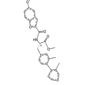 COC(=O)[C@H](Cc1ccc(-c2ccccc2C)c(C)c1)NC(=O)c1cc2cc(OC)ccc2o1